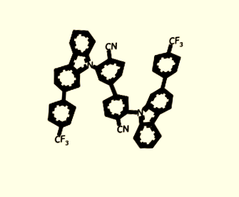 N#Cc1ccc(-c2ccc(C#N)c(-n3c4ccccc4c4ccc(-c5ccc(C(F)(F)F)cc5)cc43)c2)cc1-n1c2ccccc2c2ccc(-c3ccc(C(F)(F)F)cc3)cc21